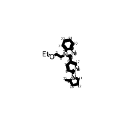 CCOCCn1c(-c2ccc(N3CCCC3C)nc2)nc2ccccc21